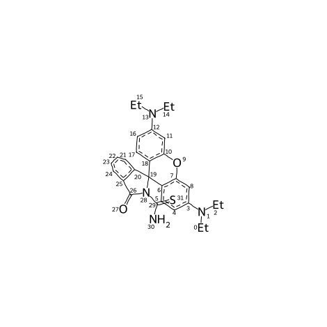 CCN(CC)c1ccc2c(c1)Oc1cc(N(CC)CC)ccc1C21c2ccccc2C(=O)N1C(N)=S